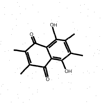 CC1=C(C)C(=O)c2c(O)c(C)c(C)c(O)c2C1=O